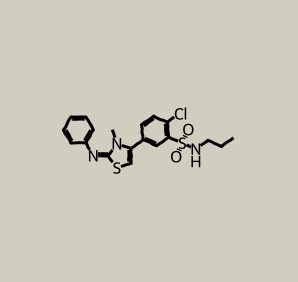 CCCNS(=O)(=O)c1cc(-c2csc(=Nc3ccccc3)n2C)ccc1Cl